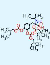 CCC(C)COC(=O)Oc1ccc(C[C@](NC(C)CC)(OC(=O)CC(C)(C)C)C(=O)O)cc1OC(=O)OCC(C)CC